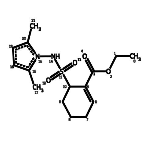 CCOC(=O)C1=CCCCC1S(=O)(=O)Nn1c(C)ccc1C